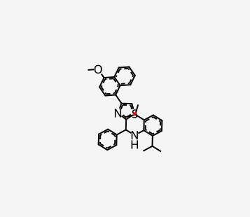 COc1ccc(-c2csc(C(Nc3c(C(C)C)cccc3C(C)C)c3ccccc3)n2)c2ccccc12